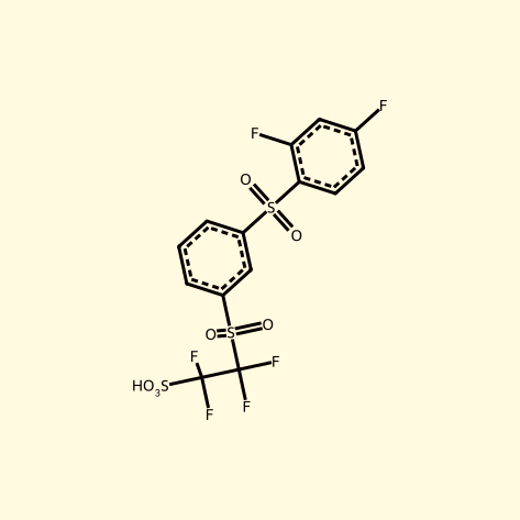 O=S(=O)(c1cccc(S(=O)(=O)C(F)(F)C(F)(F)S(=O)(=O)O)c1)c1ccc(F)cc1F